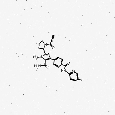 C#CC(=O)N1CCCC1c1nc(-c2ccc(C(=O)Nc3ccc(C)cn3)cc2)c(C(N)=O)n1N